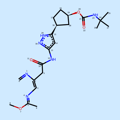 C=N/C(=C\N=C(/C)OC)CC(=O)Nc1cc([C@H]2CC[C@@H](OC(=O)NC(C)(C)C)C2)[nH]n1